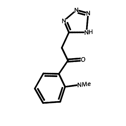 CNc1ccccc1C(=O)Cc1nnn[nH]1